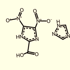 O=C(O)c1nc([N+](=O)[O-])c([N+](=O)[O-])[nH]1.c1nc[nH]n1